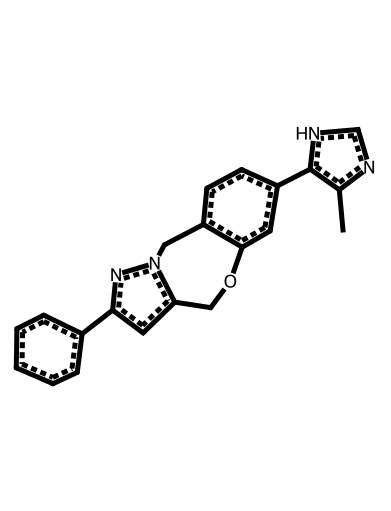 Cc1nc[nH]c1-c1ccc2c(c1)OCc1cc(-c3ccccc3)nn1C2